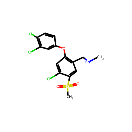 CNCc1cc(S(C)(=O)=O)c(Cl)cc1Oc1ccc(Cl)c(Cl)c1